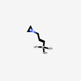 CCC[Si](C=CCN1CC1)(CCC)CCC